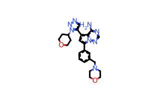 Nc1ncnn2c(-c3cccc(CN4CCOCC4)c3)cc(-c3cnnn3C3CCOCC3)c12